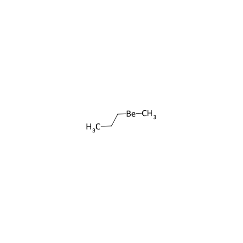 [CH3][Be][CH2]CC